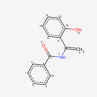 C=C(NC(=O)c1ccccc1)c1ccccc1O